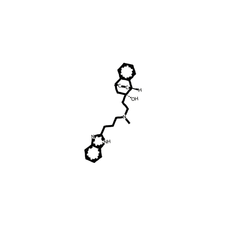 CN(CCCc1nc2ccccc2[nH]1)CC[C@@]1(O)CC2CC[C@@H]1c1ccccc12